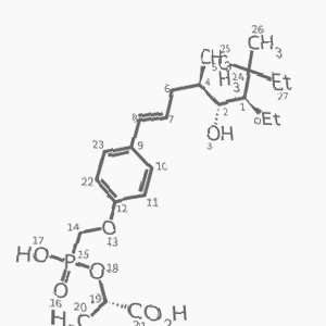 CC[C@@H]([C@H](O)[C@H](C)C/C=C/c1ccc(OCP(=O)(O)O[C@@H](C)C(=O)O)cc1)C(C)(C)CC